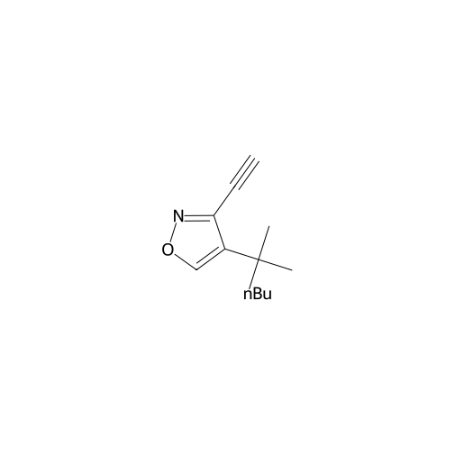 C#Cc1nocc1C(C)(C)CCCC